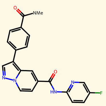 CNC(=O)c1ccc(-c2cnn3ccc(C(=O)Nc4ccc(F)cn4)cc23)cc1